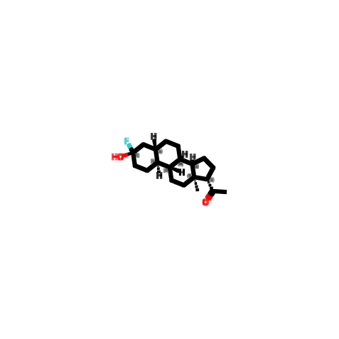 CC(=O)[C@H]1CC[C@H]2[C@@H]3CC[C@H]4C[C@@](O)(F)CC[C@@H]4[C@H]3CC[C@]12C